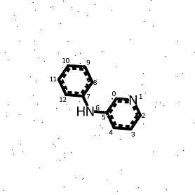 [c]1ncccc1Nc1ccccc1